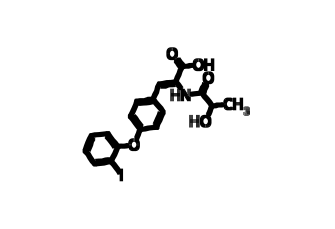 CC(O)C(=O)NC(=Cc1ccc(Oc2ccccc2I)cc1)C(=O)O